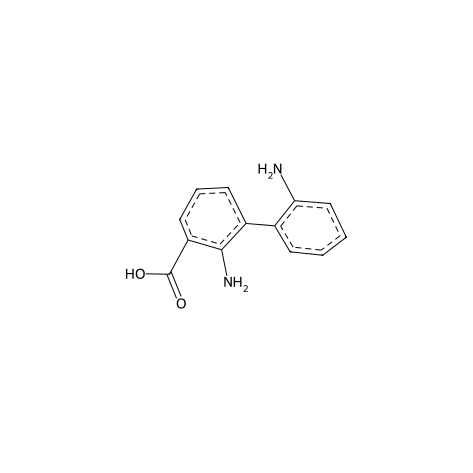 Nc1ccccc1-c1cccc(C(=O)O)c1N